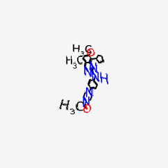 COc1cc(C)c2cnc(Nc3ccc(N4CCN(C(C)=O)CC4)cc3)nc2c1C1CCCC1